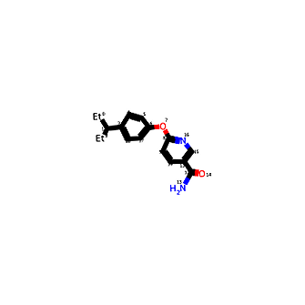 CCC(CC)c1ccc(Oc2ccc(C(N)=O)cn2)cc1